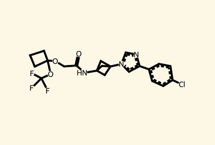 O=C(COC1(OC(F)(F)F)CCC1)NC12CC(n3cnc(-c4ccc(Cl)cc4)c3)(C1)C2